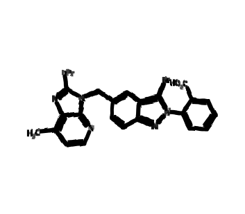 CCCc1nc2c(C)ccnc2n1Cc1ccc2nn(-c3ccccc3C(=O)O)c(Br)c2c1